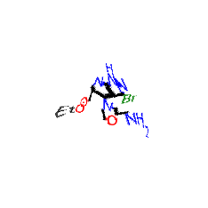 CCOOCc1cnc2[nH]nc(Br)c2c1N1CCOC(CN)C1